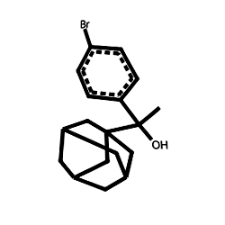 CC(O)(c1ccc(Br)cc1)C12CC3CC(CC(C3)C1)C2